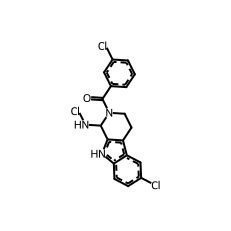 O=C(c1cccc(Cl)c1)N1CCc2c([nH]c3ccc(Cl)cc23)C1NCl